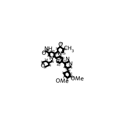 COc1ccc(-c2cnc(N)c(-c3ccc(C4=C(C5=NC=C(C)C(=O)C5)CC(C(N)=O)=CN4CC4CCOCC4)cc3)c2)cc1OC